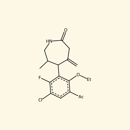 C=C1CC(=O)NCC(C)C1c1c(F)c(Cl)cc(C(C)=O)c1OCC